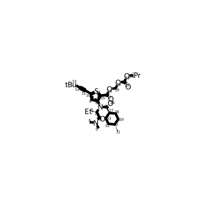 CC[C@@H](C(=O)N(C)C)N(c1cc(C#CC(C)(C)C)sc1C(=O)OCOC(=O)OC(C)C)C(=O)[C@H]1CC[C@H](C)CC1